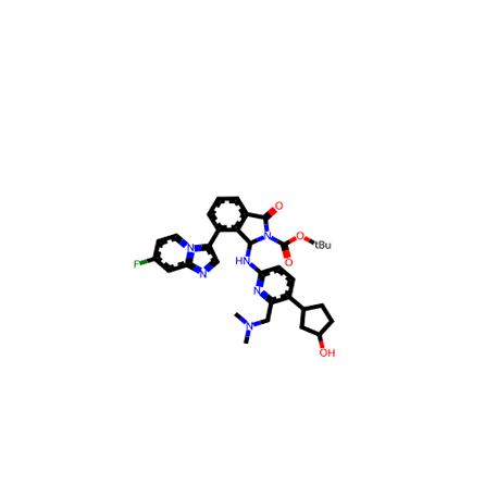 CN(C)Cc1nc(NC2c3c(cccc3-c3cnc4cc(F)ccn34)C(=O)N2C(=O)OC(C)(C)C)ccc1C1CCC(O)C1